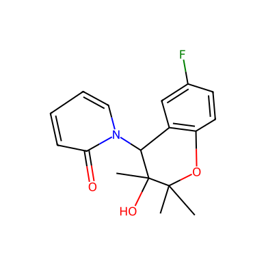 CC1(C)Oc2ccc(F)cc2C(n2ccccc2=O)C1(C)O